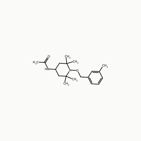 CC(=O)NC1CC(C)(C)N(OCc2cccc(C)c2)C(C)(C)C1